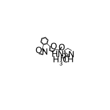 C[C@H]1[C@H](NC(=O)c2ccc(-c3ccccc3-c3ncco3)o2)C2CCN1CC2